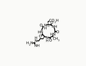 C[C@H]1NC(=O)CNC(=O)[C@H](CC(=O)O)NC(=O)CNC(=O)[C@H](CCCNC(=N)N)NC1=O